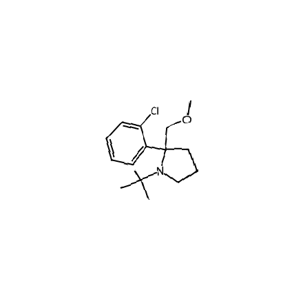 COCC1(c2ccccc2Cl)CCCN1C(C)(C)C